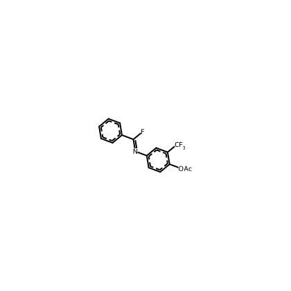 CC(=O)Oc1ccc(N=C(F)c2ccccc2)cc1C(F)(F)F